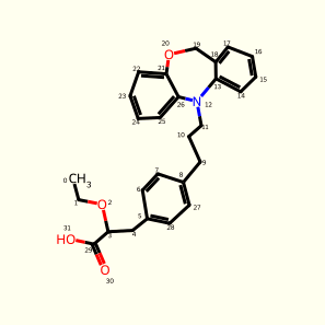 CCOC(Cc1ccc(CCCN2c3ccccc3COc3ccccc32)cc1)C(=O)O